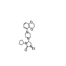 CCN1CC(N2CCN(c3cccc4c3OCCO4)CC2)N(C2CCCC2)C1=O